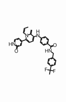 C=C1C(Nc2ccc(C(=O)NCc3ccc(C(C)(F)F)cc3)cc2)=CC=C(c2cc[nH]c(=O)c2)N1/C=C\C